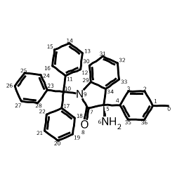 Cc1ccc([C@]2(N)C(=O)N(C(c3ccccc3)(c3ccccc3)c3ccccc3)c3ccccc32)cc1